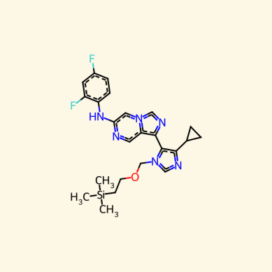 C[Si](C)(C)CCOCn1cnc(C2CC2)c1-c1ncn2cc(Nc3ccc(F)cc3F)ncc12